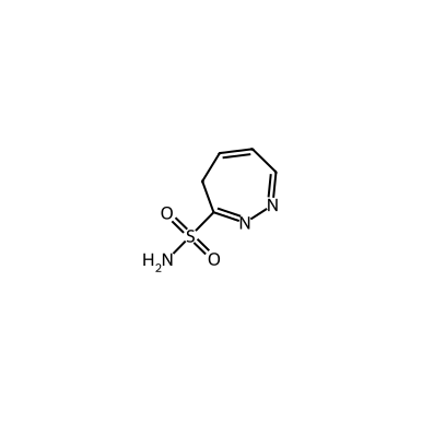 NS(=O)(=O)C1=NN=CC=CC1